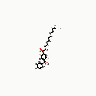 CCCCCCCCCCCC(=O)c1ccc(C(=O)c2ccccc2)cc1